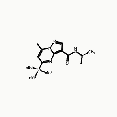 CCC[CH2][Sn]([CH2]CCC)([CH2]CCC)[c]1cc(C)n2ncc(C(=O)N[C@H](C)C(F)(F)F)c2n1